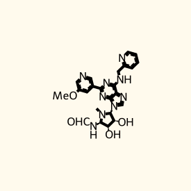 COc1cncc(-c2nc(NCc3ccccn3)c3ncn([C@H]4[C@H](O)[C@H](O)[C@@H](NC=O)N4C)c3n2)c1